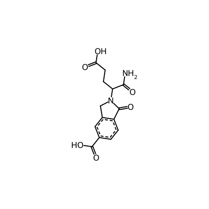 NC(=O)C(CCC(=O)O)N1Cc2cc(C(=O)O)ccc2C1=O